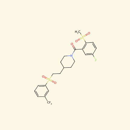 CS(=O)(=O)c1ccc(F)cc1C(=O)N1CCC(CCS(=O)(=O)c2cccc(C(F)(F)F)c2)CC1